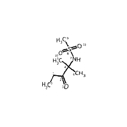 CCC(=O)C(C)(C)NS(C)(=O)=O